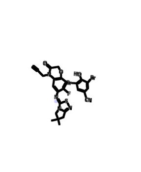 C#CCN1C(=O)COc2cc(F)c(/N=c3\snc4n3CC(C)(C)C4)cc21.N#Cc1cc(Br)c(O)c(Br)c1